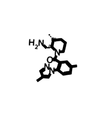 Cc1ccc(-n2cc(C)cn2)c(C(=O)N2CCC[C@@H](C)[C@H]2CN)c1